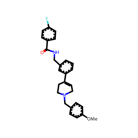 COc1ccc(CN2CC=C(c3cccc(CNC(=O)c4ccc(F)cc4)c3)CC2)cc1